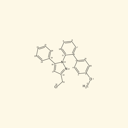 COc1ccc(-c2ccccc2-n2nc(CCl)cc2-c2ccccc2)cc1